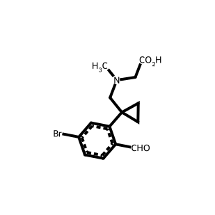 CN(CC(=O)O)CC1(c2cc(Br)ccc2C=O)CC1